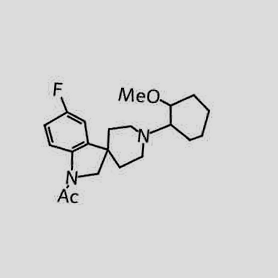 COC1CCCCC1N1CCC2(CC1)CN(C(C)=O)c1ccc(F)cc12